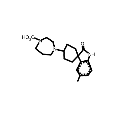 Cc1ccc2c(c1)C1(CCC(N3CCCN(C(=O)O)CC3)CC1)C(=O)N2